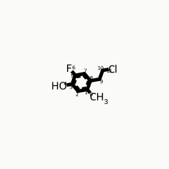 Cc1cc(O)c(F)cc1CCCl